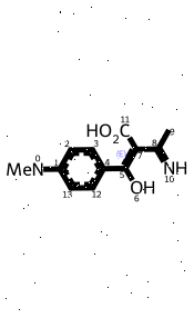 CNc1ccc(/C(O)=C(/C(C)=N)C(=O)O)cc1